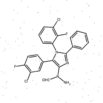 NN(C=O)c1nc(-c2ccccc2)n(-c2cccc(Cl)c2F)c1-c1ccc(F)c(Cl)c1